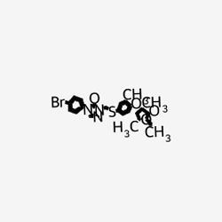 CCCC(C)(Oc1ccc(SCn2ncn(-c3ccc(Br)cc3)c2=O)cc1C)C(=O)OCC